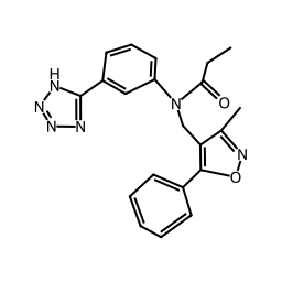 CCC(=O)N(Cc1c(C)noc1-c1ccccc1)c1cccc(-c2nnn[nH]2)c1